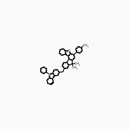 Cc1ccc(-c2cc3c(c4c2oc2ccccc24)-c2ccc(Cc4ccc5c(c4)c4c#cccc4n5-c4ccccc4)cc2C3(C)C)cc1